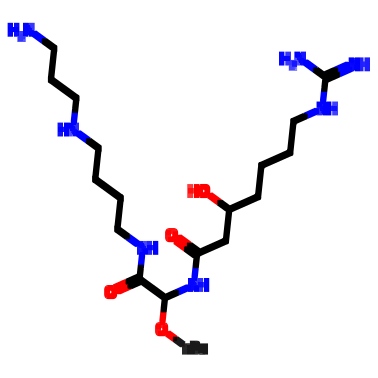 CCCCOC(NC(=O)CC(O)CCCCNC(=N)N)C(=O)NCCCCNCCCN